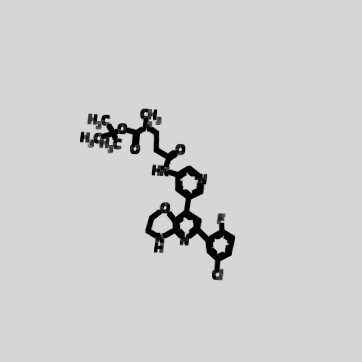 CN(CCC(=O)Nc1cncc(-c2cc(-c3cc(Cl)ccc3F)nc3c2OCCN3)c1)C(=O)OC(C)(C)C